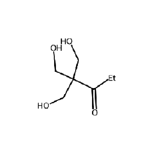 CCC(=O)C(CO)(CO)CO